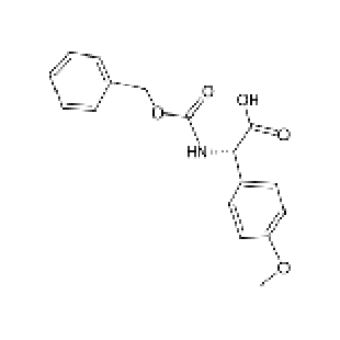 COc1ccc([C@H](NC(=O)OCc2ccccc2)C(=O)O)cc1